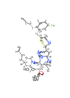 C=CCCc1ccc(F)cc1Cc1cnc(-c2cc3nc(C)c(C(OC(C)(C)C)C(=O)O)c(N4CCC(C)(CCC=C)CC4)n3n2)s1